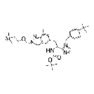 Cc1cc(CC(NC(=O)OC(C)(C)C)c2nccn2Cc2ccc(C(C)(C)C)cc2)cc2cn(COCC[Si](C)(C)C)nc12